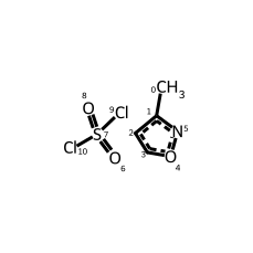 Cc1ccon1.O=S(=O)(Cl)Cl